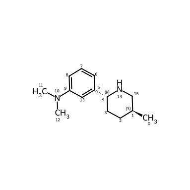 C[C@H]1CC[C@H](c2cccc(N(C)C)c2)NC1